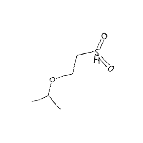 CC(C)OCC[SH](=O)=O